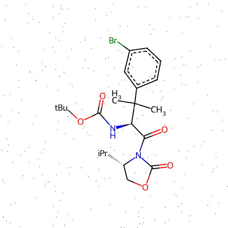 CC(C)[C@H]1COC(=O)N1C(=O)[C@@H](NC(=O)OC(C)(C)C)C(C)(C)c1cccc(Br)c1